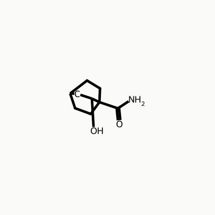 NC(=O)C12CCC(CC1)CC2O